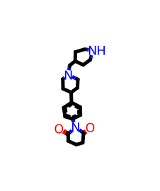 O=C1CCCC(=O)N1c1ccc(C2CCN(CC3CCNCC3)CC2)cc1